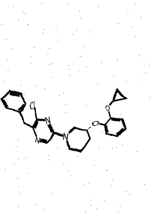 Clc1nc(N2CCC[C@@H](Oc3ccccc3OC3CC3)C2)cnc1Cc1ccccc1